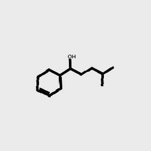 CC(C)CCC(O)C1CC=CCC1